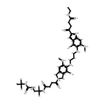 CCOC(=O)CCC(=O)c1cc2c(F)c(OCCCOc3c(OC)cc4c(c3F)CN(C(=O)CCC(=O)OC(C)(C)CNC(=O)OC(C)(C)C)C4)c(OC)cc2s1